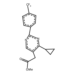 COC(=O)Cc1cnc(-c2ccc(C(F)(F)F)cc2)nc1C1CC1